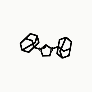 C1=[N+](C23CC4CC(CC(C4)C2)C3)CCN1C12CC3CC(CC(C3)C1)C2